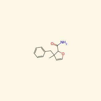 CC1(Cc2ccccc2)C=COC1C(N)=O